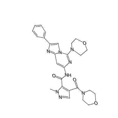 Cn1ncc(C(=O)N2CCOCC2)c1C(=O)Nc1cc2nc(-c3ccccc3)cn2c(N2CCOCC2)n1